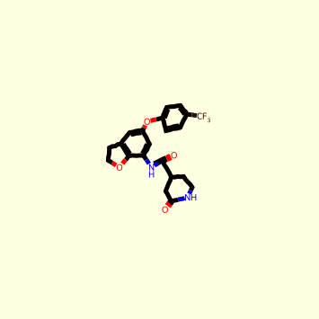 O=C1CC(C(=O)Nc2cc(Oc3ccc(C(F)(F)F)cc3)cc3c2OCC3)CCN1